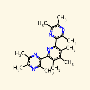 Cc1nc(C)c(-c2nc(-c3nc(C)c(C)nc3C)c(C)c(C)c2C)nc1C